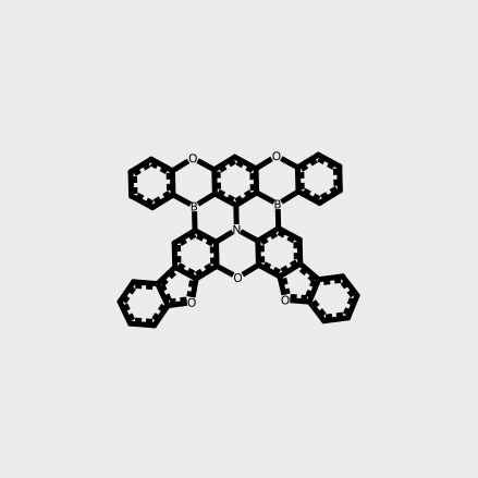 c1ccc2c(c1)Oc1cc3c4c5c1B2c1cc2c(oc6ccccc62)c2c1N5c1c(cc5c(oc6ccccc65)c1O2)B4c1ccccc1O3